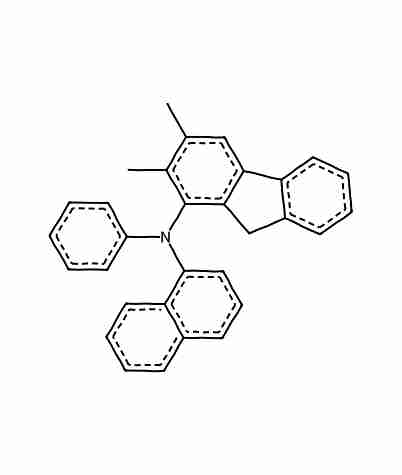 Cc1cc2c(c(N(c3ccccc3)c3cccc4ccccc34)c1C)Cc1ccccc1-2